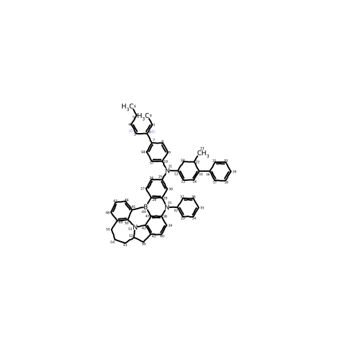 C/C=C(\C=C/CC)c1ccc(N(C2=CC=C(c3ccccc3)C(C)C2)c2ccc3c(c2)N(c2ccccc2)c2ccc4c5c2B3c2cccc3c2N5C(CCC3)C4)cc1